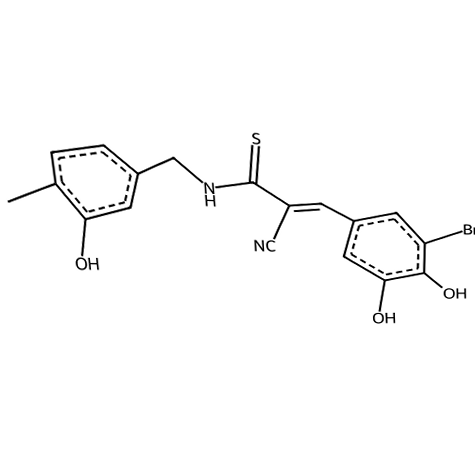 Cc1ccc(CNC(=S)/C(C#N)=C/c2cc(O)c(O)c(Br)c2)cc1O